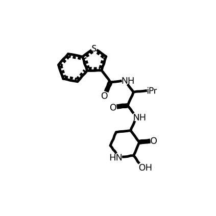 CC(C)C(NC(=O)c1csc2ccccc12)C(=O)NC1CCNC(O)C1=O